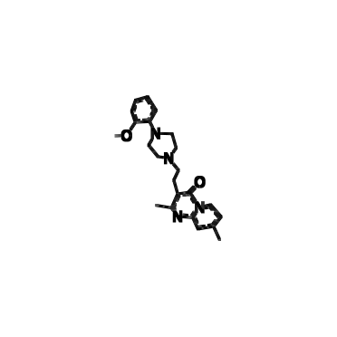 COc1ccccc1N1CCN(CCc2c(C)nc3cc(C)ccn3c2=O)CC1